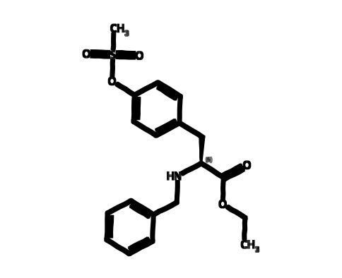 CCOC(=O)[C@H](Cc1ccc(OS(C)(=O)=O)cc1)NCc1ccccc1